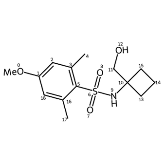 COc1cc(C)c(S(=O)(=O)NC2(CO)CCC2)c(C)c1